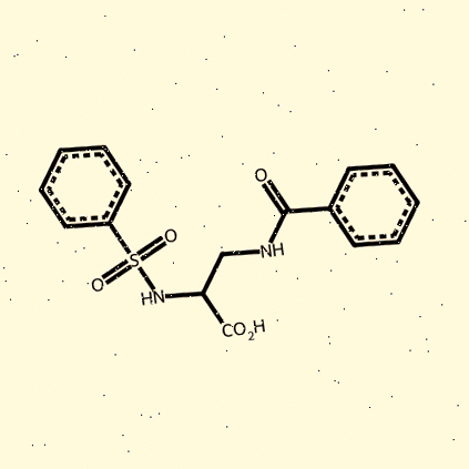 O=C(NCC(NS(=O)(=O)c1ccccc1)C(=O)O)c1ccccc1